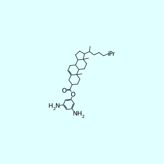 CC(C)CCCC(C)C1CCC2C3CC=C4CC(C(=O)Oc5cc(N)cc(N)c5)CCC4(C)C3CCC12C